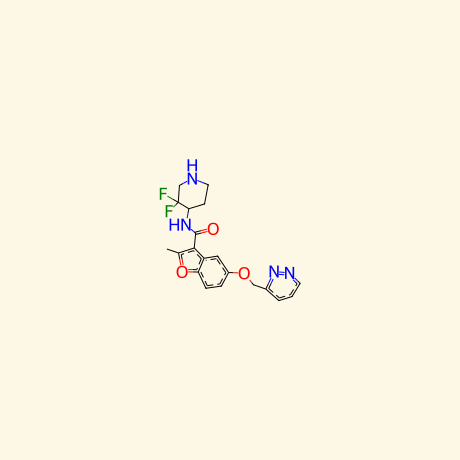 Cc1oc2ccc(OCc3cccnn3)cc2c1C(=O)NC1CCNCC1(F)F